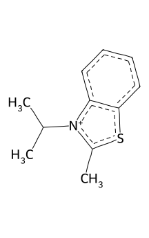 Cc1sc2ccccc2[n+]1C(C)C